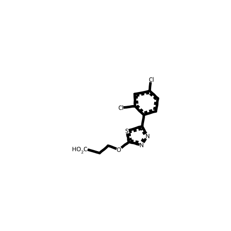 O=C(O)CCOc1nnc(-c2ccc(Cl)cc2Cl)s1